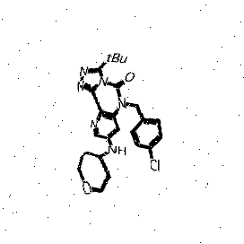 CC(C)(C)c1nnc2c3ncc(NC4CCOCC4)cc3n(Cc3ccc(Cl)cc3)c(=O)n12